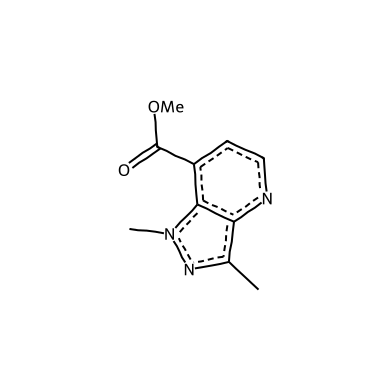 COC(=O)c1ccnc2c(C)nn(C)c12